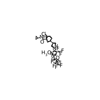 Cn1nc(OS(=O)(=O)C(F)(F)C(F)(F)Cl)c(C(F)(F)F)c1-n1cc(-c2ccc(Cl)c(C(=O)NC3CC3)c2)cn1